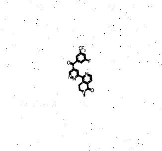 CN1CCc2c(ccnc2-c2cc(C(=O)c3cc(F)cc(C(F)(F)F)c3)cnn2)C1=O